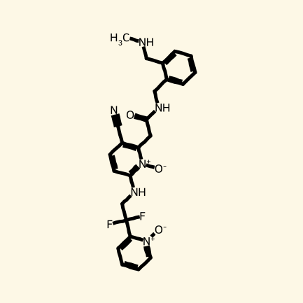 CNCc1ccccc1CNC(=O)Cc1c(C#N)ccc(NCC(F)(F)c2cccc[n+]2[O-])[n+]1[O-]